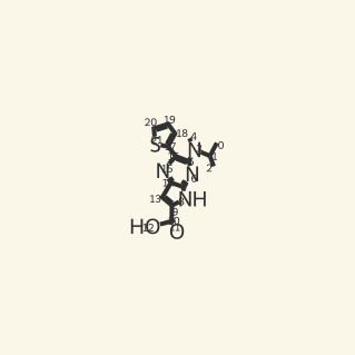 CC(C)N(C)c1nc2[nH]c(C(=O)O)cc2nc1-c1cccs1